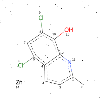 Cc1ccc2c(Cl)cc(Cl)c(O)c2n1.[Zn]